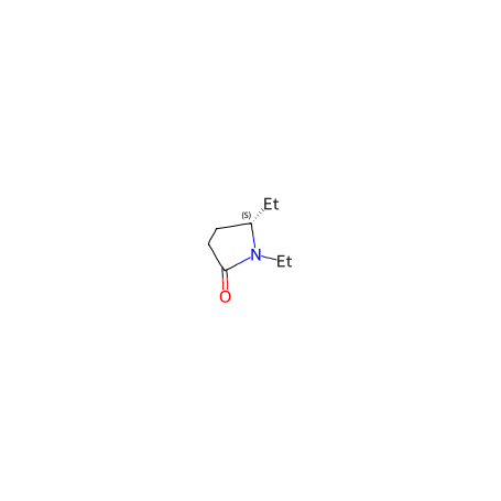 CC[C@H]1CCC(=O)N1CC